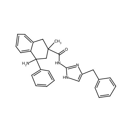 CC1(C(=O)Nc2nc(Cc3ccccc3)c[nH]2)Cc2ccccc2C(N)(c2ccccc2)C1